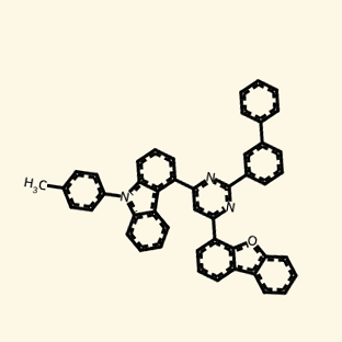 Cc1ccc(-n2c3ccccc3c3c(-c4cc(-c5cccc6c5oc5ccccc56)nc(-c5cccc(-c6ccccc6)c5)n4)cccc32)cc1